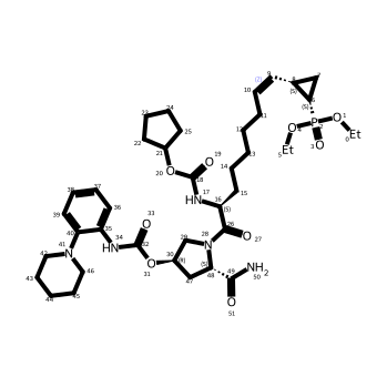 CCOP(=O)(OCC)[C@H]1C[C@H]1/C=C\CCCCC[C@H](NC(=O)OC1CCCC1)C(=O)N1C[C@H](OC(=O)Nc2ccccc2N2CCCCC2)C[C@H]1C(N)=O